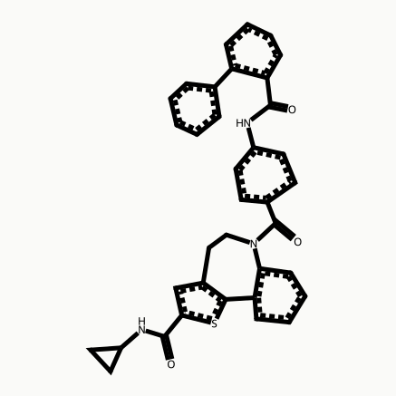 O=C(NC1CC1)c1cc2c(s1)-c1ccccc1N(C(=O)c1ccc(NC(=O)c3ccccc3-c3ccccc3)cc1)CC2